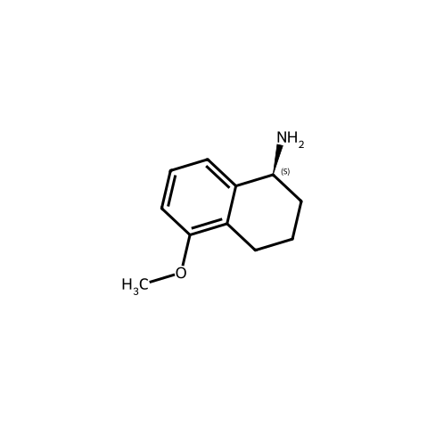 COc1cccc2c1CCC[C@@H]2N